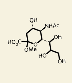 COC1(C(=O)O)C[C@H](O)[C@@H](NC(C)=O)[C@H](C(O)C(O)CO)O1